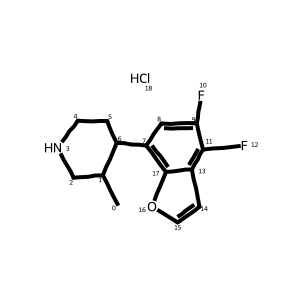 CC1CNCCC1c1cc(F)c(F)c2ccoc12.Cl